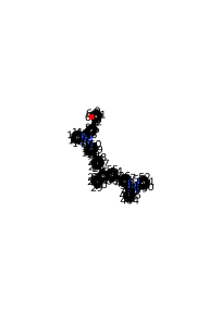 c1ccc(-c2ccc3c(c2)c2ccccc2n3-c2ccc(-c3ccc([C@@H]4c5ccccc5-c5cc(-c6ccc7c(c6)c6ccccc6n7-c6ccccc6)ccc54)cc3)cc2)cc1